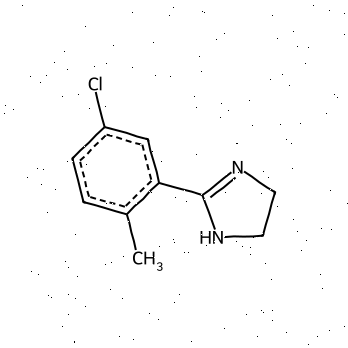 Cc1ccc(Cl)cc1C1=NCCN1